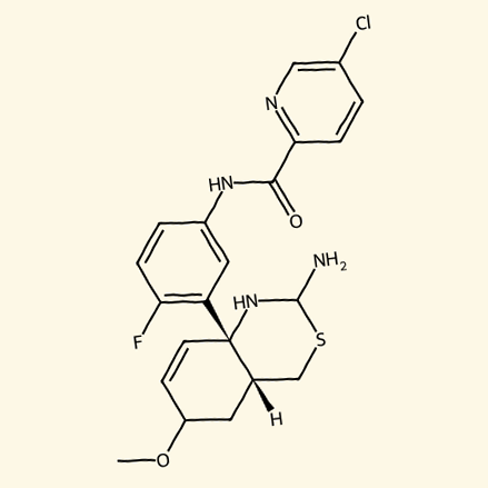 COC1C=C[C@]2(c3cc(NC(=O)c4ccc(Cl)cn4)ccc3F)NC(N)SC[C@@H]2C1